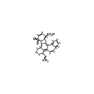 C=CC1CCCc2ccc3c(ccc4ccccc43)c21.O=C(O)C1=CCS(=O)(=O)C=C1